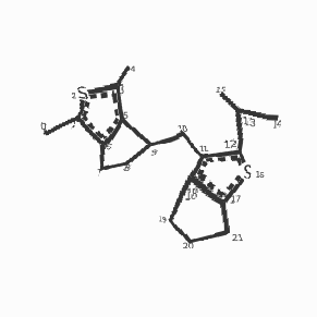 Cc1sc(C)c2c1CCC2Cc1c(C(C)C)sc2c1CCC2